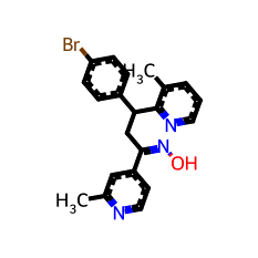 Cc1cc(/C(CC(c2ccc(Br)cc2)c2ncccc2C)=N\O)ccn1